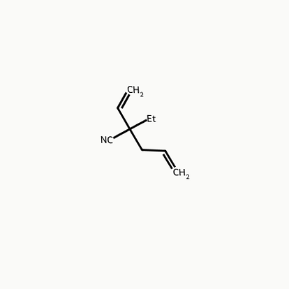 C=CCC(C#N)(C=C)CC